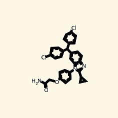 NC(=O)COc1ccc(-n2c(C3CC3)nc3ccc(C(c4ccc(Cl)cc4)c4ccc(Cl)cc4)cc32)cc1